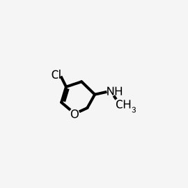 CNC1COC=C(Cl)C1